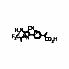 CC(C(=O)O)c1ccc(-c2nn(C(C)C(F)(F)F)c(N)c2C#N)nc1